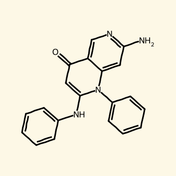 Nc1cc2c(cn1)c(=O)cc(Nc1ccccc1)n2-c1ccccc1